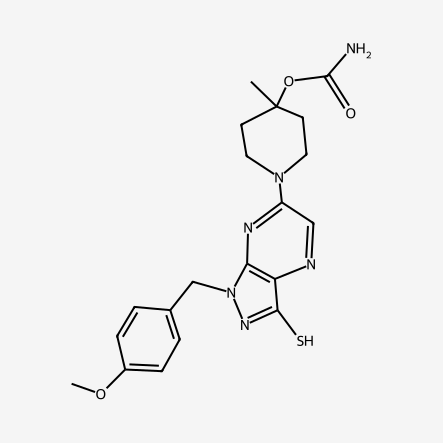 COc1ccc(Cn2nc(S)c3ncc(N4CCC(C)(OC(N)=O)CC4)nc32)cc1